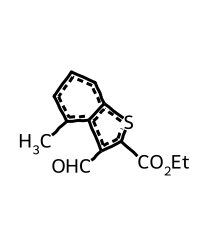 CCOC(=O)c1sc2cccc(C)c2c1C=O